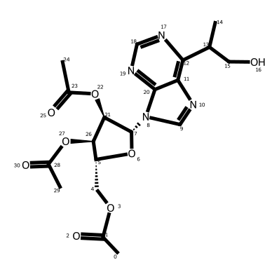 CC(=O)OC[C@H]1O[C@@H](n2cnc3c(C(C)CO)ncnc32)[C@H](OC(C)=O)[C@@H]1OC(C)=O